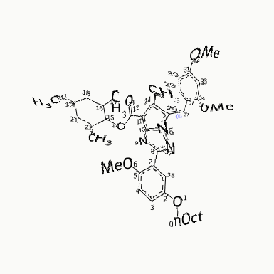 CCCCCCCCOc1ccc(OC)c(-c2nc3c(C(=O)OC4C(C)CC(C)CC4C)c(C)/c(=C\c4ccc(OC)cc4OC)n3n2)c1